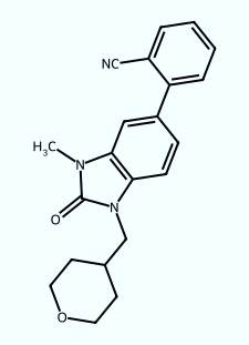 Cn1c(=O)n(CC2CCOCC2)c2ccc(-c3ccccc3C#N)cc21